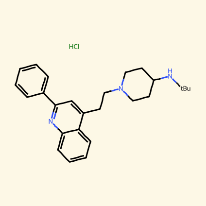 CC(C)(C)NC1CCN(CCc2cc(-c3ccccc3)nc3ccccc23)CC1.Cl